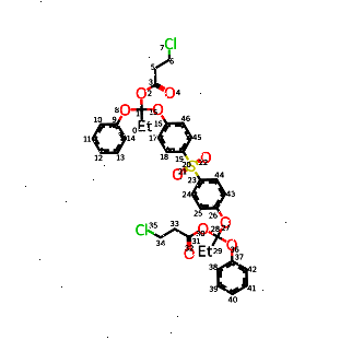 CCC(OC(=O)CCCl)(Oc1ccccc1)Oc1ccc(S(=O)(=O)c2ccc(OC(CC)(OC(=O)CCCl)Oc3ccccc3)cc2)cc1